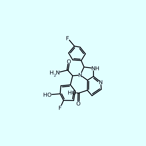 NC(=O)C(c1ccc(F)c(O)c1)N1c2c(C(=O)O)ccnc2NC1c1ccc(F)cc1